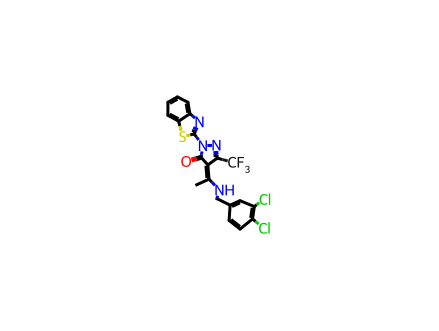 C/C(NCc1ccc(Cl)c(Cl)c1)=C1\C(=O)N(c2nc3ccccc3s2)N=C1C(F)(F)F